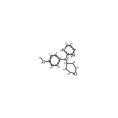 COc1ccc(N(c2ncccn2)C2CCOCC2)cc1